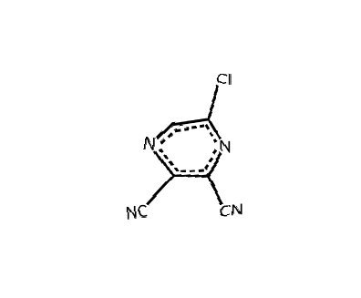 N#Cc1ncc(Cl)nc1C#N